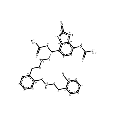 O=C(Oc1ccc([C@H](CNCCc2ccccc2CNCCc2ccccc2F)OC(=O)C(F)(F)F)c2sc(=O)[nH]c12)C(F)(F)F